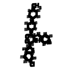 CN1CCC(N2CCN(C(=O)[C@@H](Cc3ccncc3)NC(=O)c3cc4ccc(Cl)cc4s3)CC2)CC1